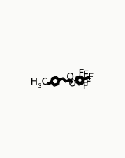 CCC1CCC(CCC(=O)Oc2cc(F)c(C(F)(F)F)c(F)c2)CC1